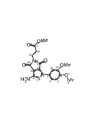 CCCOc1ccc(-c2sc(N)c3c2C(=O)N(CCC(=O)OC)C3=O)cc1OC